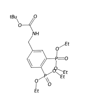 CCOP(=O)(OCC)c1ccc(CNC(=O)OC(C)(C)C)cc1P(=O)(OCC)OCC